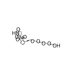 O=C1CCC(N2C(=O)c3cccc(C#CCOCCOCCOCCOCCO)c3C2=O)C(=O)N1